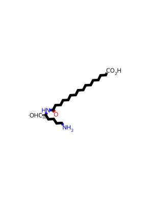 NCCCC[C@@H]([C]=O)NC(=O)CCCCCCCCCCCCCCC(=O)O